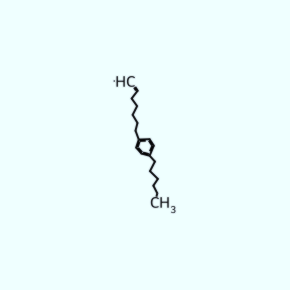 [CH]=CCCCCCc1ccc(CCCCCC)cc1